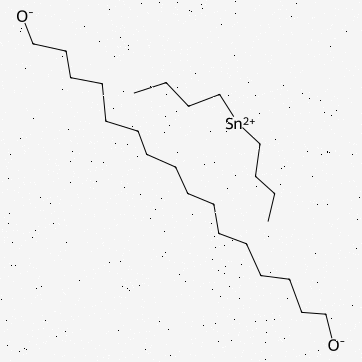 CCC[CH2][Sn+2][CH2]CCC.[O-]CCCCCCCCCCCCCCCC[O-]